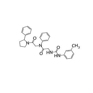 Cc1cccc(NC(=O)NCC(=O)N(CC(=O)N2CCCC2c2ccccc2)c2ccccc2)c1